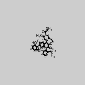 C=CC(=O)N1CC2CCOc3c(c4cc(F)c(-c5c(O)cccc5Cl)nc4n(-c4c(C)ccnc4C(C)C)c3=O)N2CC1C